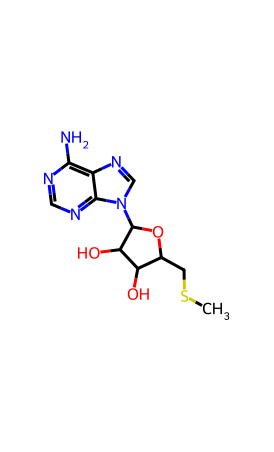 CSCC1OC(n2cnc3c(N)ncnc32)C(O)C1O